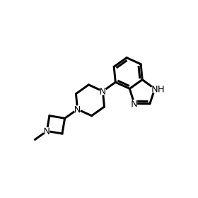 CN1CC(N2CCN(c3cccc4[nH]cnc34)CC2)C1